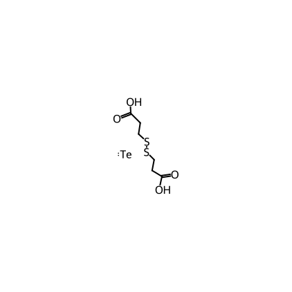 O=C(O)CCSSCCC(=O)O.[Te]